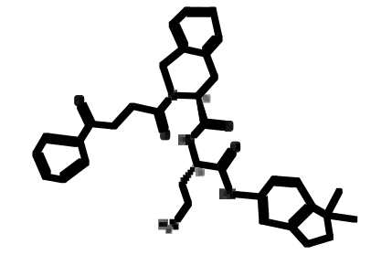 CC1(C)CCc2cc(NC(=O)[C@H](CCN)NC(=O)[C@@H]3Cc4ccccc4CN3C(=O)CCC(=O)c3ccccc3)ccc21